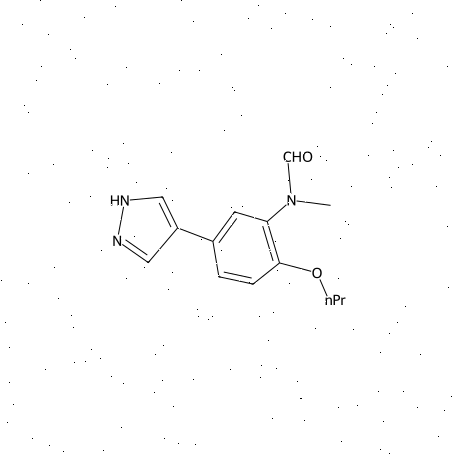 CCCOc1ccc(-c2cn[nH]c2)cc1N(C)C=O